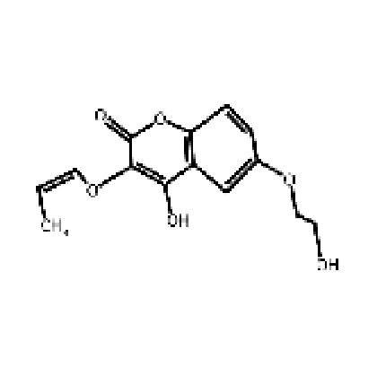 C/C=C\Oc1c(O)c2cc(OCCO)ccc2oc1=O